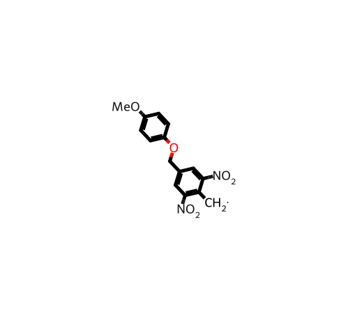 [CH2]c1c([N+](=O)[O-])cc(COc2ccc(OC)cc2)cc1[N+](=O)[O-]